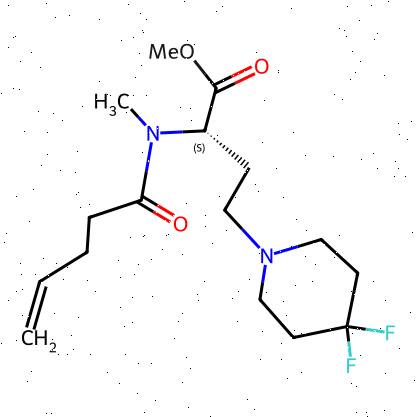 C=CCCC(=O)N(C)[C@@H](CCN1CCC(F)(F)CC1)C(=O)OC